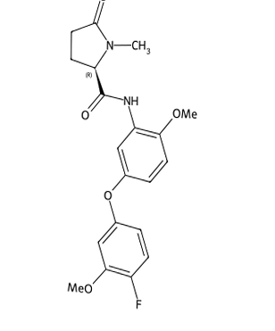 COc1cc(Oc2ccc(OC)c(NC(=O)[C@H]3CCC(=O)N3C)c2)ccc1F